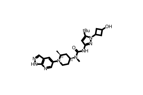 C[C@H]1C[C@@H](N(C)C(=O)Nc2cc(C(C)(C)C)n(C3CC(O)C3)n2)CCN1c1cnc2[nH]ncc2c1